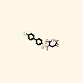 COC(=O)C(CC1CO1)NS(=O)(=O)c1ccc(-c2ccc(Cl)cc2)cc1